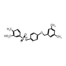 Cc1cc(C)cc(COc2ccc(NS(=O)(=O)c3ccc(C)c(C(=O)O)c3)cc2)c1